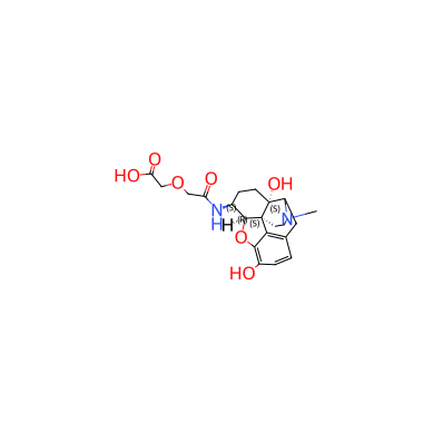 CN1CC[C@]23c4c5ccc(O)c4O[C@H]2[C@@H](NC(=O)COCC(=O)O)CC[C@@]3(O)C1C5